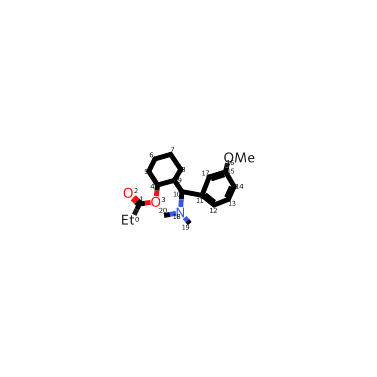 CCC(=O)OC1CCCCC1C(c1cccc(OC)c1)N(C)C